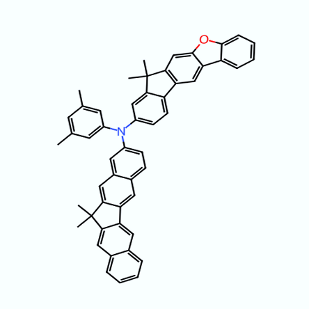 Cc1cc(C)cc(N(c2ccc3c(c2)C(C)(C)c2cc4oc5ccccc5c4cc2-3)c2ccc3cc4c(cc3c2)C(C)(C)c2cc3ccccc3cc2-4)c1